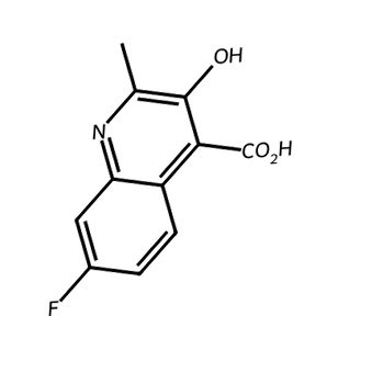 Cc1nc2cc(F)ccc2c(C(=O)O)c1O